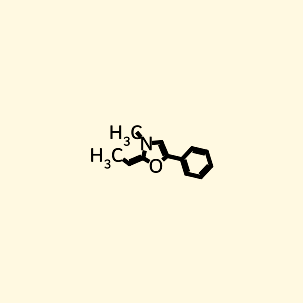 CC=C1OC(c2ccccc2)=CN1C